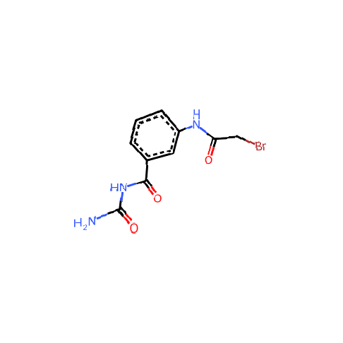 NC(=O)NC(=O)c1cccc(NC(=O)CBr)c1